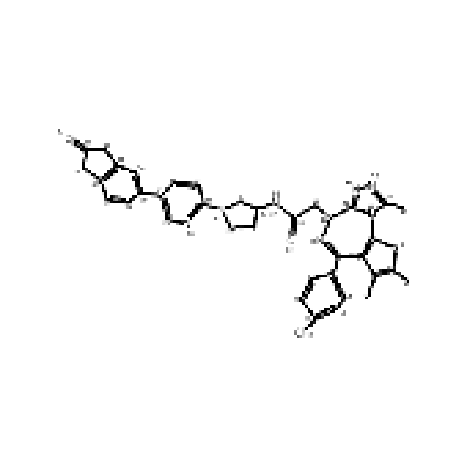 Cc1sc2c(c1C)C(c1ccc(Cl)cc1)=N[C@@H](CC(=O)NC1CCN(c3ccc(-c4ccc5c(c4)CC(=O)C5)cn3)C1)c1nnc(C)n1-2